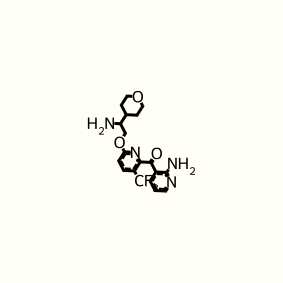 Nc1ncccc1C(=O)c1nc(OCC(N)C2CCOCC2)ccc1C(F)(F)F